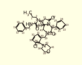 CCCN(C(=O)NCc1ccccc1)N1CC(=O)N2[C@@H](c3ccccc3)C(=O)N(Cc3cccc(Cl)c3N3CCOCC3)C[C@@H]21